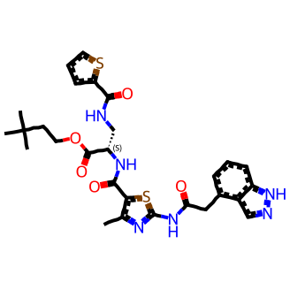 Cc1nc(NC(=O)Cc2cccc3[nH]ncc23)sc1C(=O)N[C@@H](CNC(=O)c1cccs1)C(=O)OCCC(C)(C)C